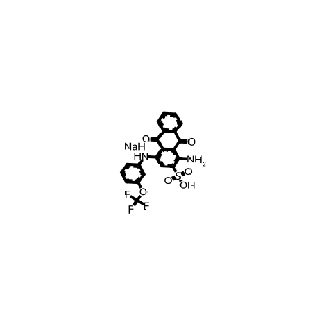 Nc1c(S(=O)(=O)O)cc(Nc2cccc(OC(F)(F)F)c2)c2c1C(=O)c1ccccc1C2=O.[NaH]